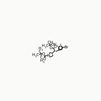 CC(C)(C)OC(=O)[C@@H](Cc1csc(Br)c1)[C@H]1CCN(C(=O)OC(C)(C)C)C1